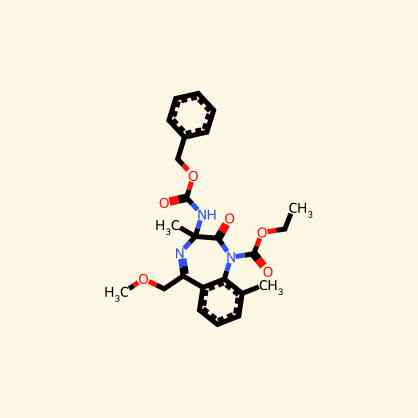 CCOC(=O)N1C(=O)C(C)(NC(=O)OCc2ccccc2)N=C(COC)c2cccc(C)c21